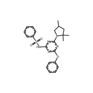 CC1CN(c2nc(NS(=O)(=O)c3ccccc3)nc(Oc3ccccc3)n2)C(C)(C)C1